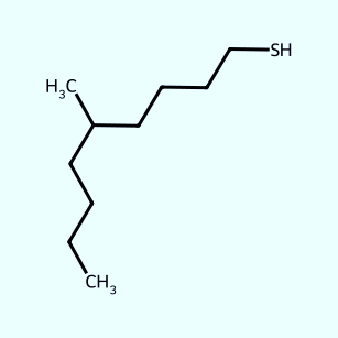 CCCCC(C)CCCCS